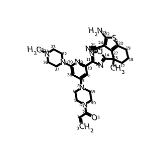 C=CC(=O)N1CCN(c2cc(-c3noc(C4(C)CCCc5sc(N)c(C#N)c54)n3)nc(N3CCN(C)CC3)c2)CC1